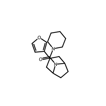 O=C(N1CCCCC1)N1C2CCC1CC(c1ccoc1)C2